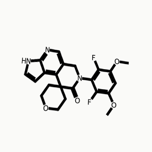 COc1cc(OC)c(F)c(N2Cc3cnc4[nH]ccc4c3C3(CCOCC3)C2=O)c1F